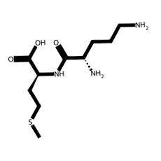 CSCC[C@H](NC(=O)[C@@H](N)CCCN)C(=O)O